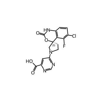 O=C1Nc2ccc(Cl)c(F)c2[C@]2(CCN(c3cc(C(=O)O)ncn3)C2)O1